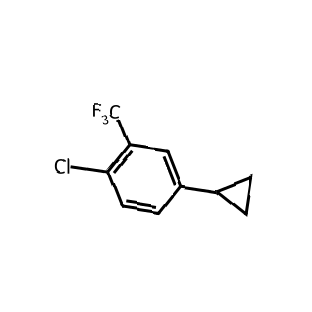 FC(F)(F)c1cc(C2CC2)ccc1Cl